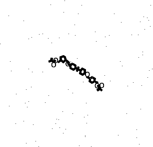 C=C(C)C(=O)OCC1CCC(COC2CCC(C(C)(C)C3CCC(OCC4CCCC(COC(=O)C(=C)C)C4)CC3)CC2)CC1